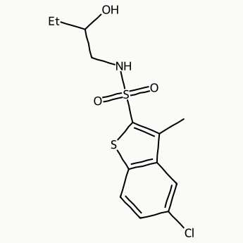 CCC(O)CNS(=O)(=O)c1sc2ccc(Cl)cc2c1C